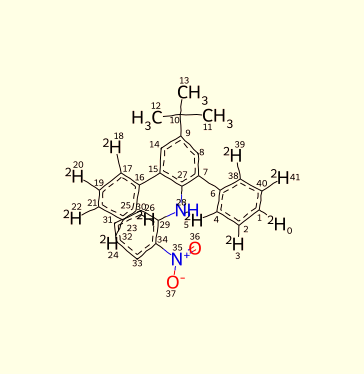 [2H]c1c([2H])c([2H])c(-c2cc(C(C)(C)C)cc(-c3c([2H])c([2H])c([2H])c([2H])c3[2H])c2Nc2ccccc2[N+](=O)[O-])c([2H])c1[2H]